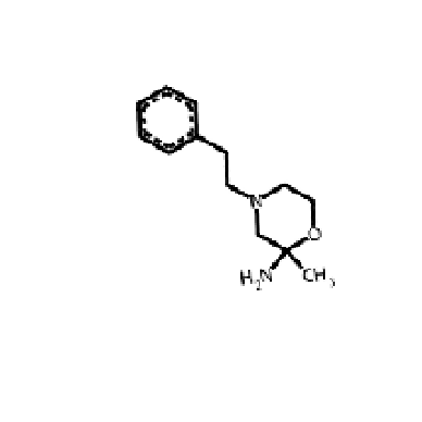 CC1(N)CN(CCc2ccccc2)CCO1